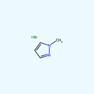 Br.Cn1cccn1